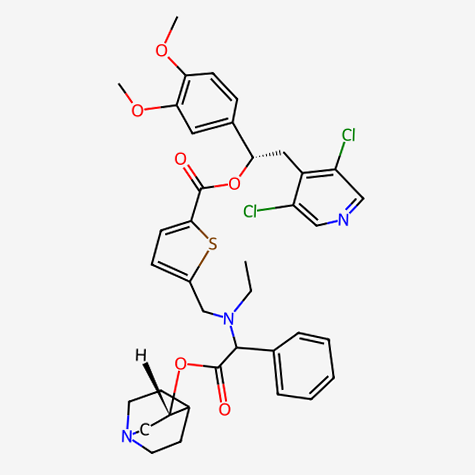 CCN(Cc1ccc(C(=O)O[C@@H](Cc2c(Cl)cncc2Cl)c2ccc(OC)c(OC)c2)s1)C(C(=O)O[C@H]1CN2CCC1CC2)c1ccccc1